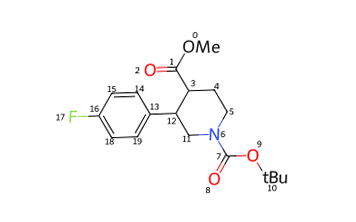 COC(=O)C1CCN(C(=O)OC(C)(C)C)CC1c1ccc(F)cc1